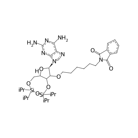 CC(C)[Si]1(C(C)C)OC[C@H]2O[C@@H](n3cnc4c(N)nc(N)nc43)C(OCCCCCCN3C(=O)c4ccccc4C3=O)C2O[Si](C(C)C)(C(C)C)O1